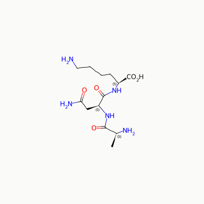 C[C@H](N)C(=O)N[C@@H](CC(N)=O)C(=O)N[C@@H](CCCCN)C(=O)O